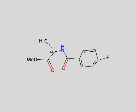 COC(=O)[C@H](C)NC(=O)c1ccc(F)cc1